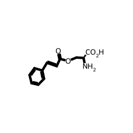 N[C@@H](COC(=O)/C=C/c1ccccc1)C(=O)O